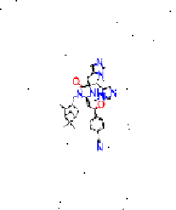 CC1C(CN2C(=O)C(Cc3cncn3C)(Cc3cncn3C)NC2=CC(=O)c2ccc(C#N)cc2)CC2CC1C2(C)C